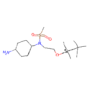 CC(C)(C)[Si](C)(C)OCCN(C1CCC(N)CC1)S(C)(=O)=O